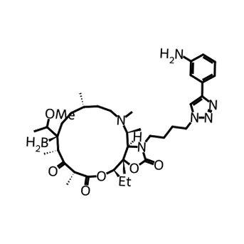 B[C@@]1(C(C)OC)CC[C@H](C)CCN(C)[C@@H](C)[C@H]2N(CCCCn3cc(-c4cccc(N)c4)nn3)C(=O)O[C@]2(C)[C@@H](CC)OC(=O)[C@H](C)C(=O)[C@@H]1C